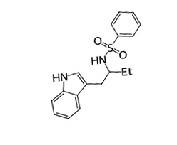 CCC(Cc1c[nH]c2ccccc12)NS(=O)(=O)c1ccccc1